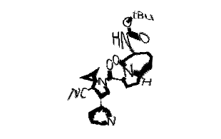 CC(C)(C)OC(=O)N[C@H]1CCC[C@H]2CC[C@@H](C(=O)N3C[C@H](c4cccnc4)[C@@H](C#N)C34CC4)N2C1=O